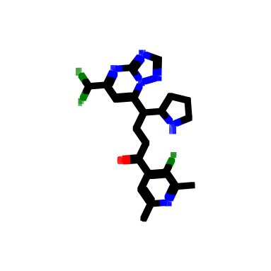 Cc1cc(C(=O)CCC(c2cc(C(F)F)nc3ncnn23)C2CCCN2)c(F)c(C)n1